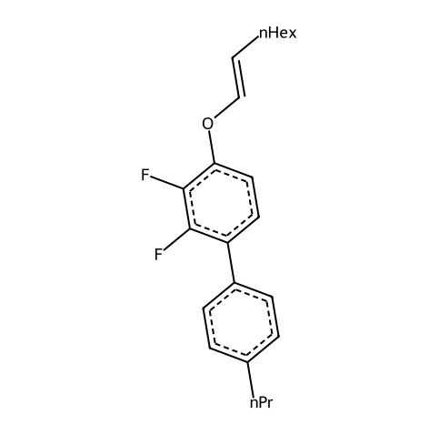 CCCCCC/C=C/Oc1ccc(-c2ccc(CCC)cc2)c(F)c1F